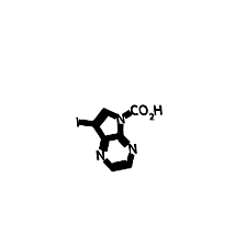 O=C(O)n1cc(I)c2nccnc21